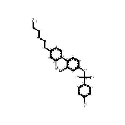 CCc1ccc(C(F)(F)Oc2ccc(-c3ccc(CCCCCO)cc3CC)c(CC)c2)cc1